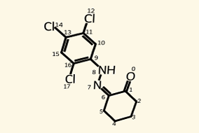 O=C1CCCC/C1=N/Nc1cc(Cl)c(Cl)cc1Cl